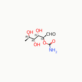 C[C@@H](O)[C@@H](O)[C@H](O)[C@@H](C=O)OC(N)=O